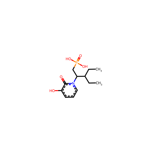 CCC(CC)C(CP(=O)(O)O)n1cccc(O)c1=O